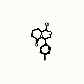 O=C1CCCC2C(O)OCC(c3ccc(F)cc3)N12